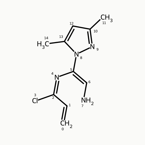 C=C/C(Cl)=N\C(=C/N)n1nc(C)cc1C